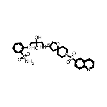 NS(=O)(=O)c1ccccc1OCC(O)(O)CN[C@H]1COC2(CCN(S(=O)(=O)c3ccc4ncccc4c3)CC2)C1